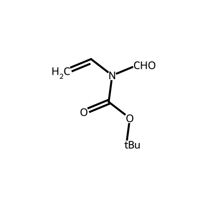 C=CN(C=O)C(=O)OC(C)(C)C